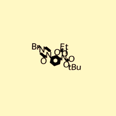 CCC(=O)Oc1c(NC(=O)OC(C)(C)C)cccc1N1CCN(Br)CC1=O